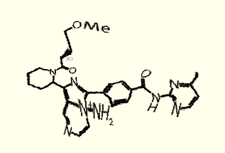 COC/C=C/C(=O)N1CCCCC1C1=C2C=NC=C[N+]2(N)C(c2ccc(C(=O)Nc3nccc(C)n3)cc2)=N1